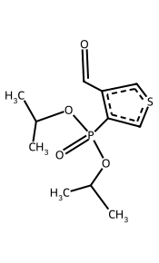 CC(C)OP(=O)(OC(C)C)c1cscc1C=O